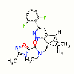 CCN(C[C@@]12CC[C@@H](c3cc(-c4c(F)cccc4F)nnc31)C2(C)C)C(=O)c1nc(C)no1